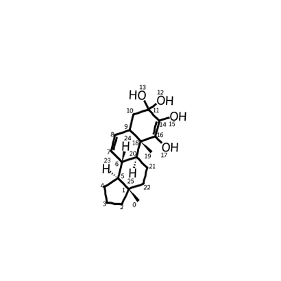 C[C@@]12CCC[C@H]1[C@@H]1C=CC3CC(O)(O)C(O)=C(O)[C@]3(C)[C@H]1CC2